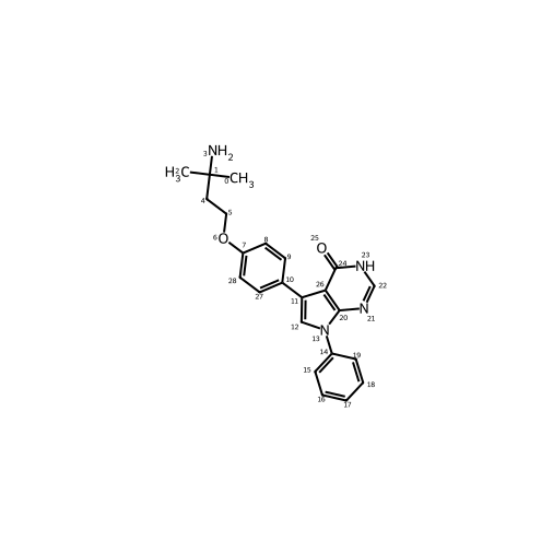 CC(C)(N)CCOc1ccc(-c2cn(-c3ccccc3)c3nc[nH]c(=O)c23)cc1